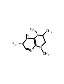 CC1CN(C)C2=C(N[C@@H](C)C=N2)N1C(C)(C)C